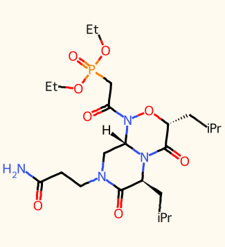 CCOP(=O)(CC(=O)N1O[C@H](CC(C)C)C(=O)N2[C@@H]1CN(CCC(N)=O)C(=O)[C@@H]2CC(C)C)OCC